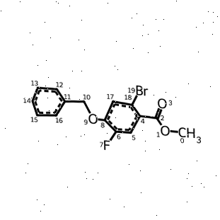 COC(=O)c1cc(F)c(OCc2ccccc2)cc1Br